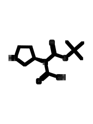 CC(C)(C)OC(=O)N(C(=O)O)[C@@H]1CCNC1